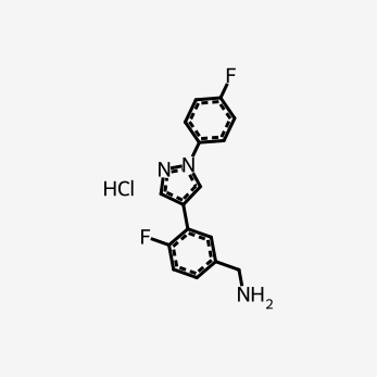 Cl.NCc1ccc(F)c(-c2cnn(-c3ccc(F)cc3)c2)c1